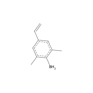 Bc1c(C)cc(C=C)cc1C